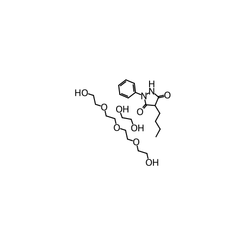 CCCCC1C(=O)NN(c2ccccc2)C1=O.OCCO.OCCOCCOCCOCCO